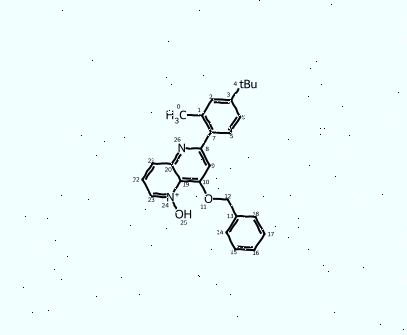 Cc1cc(C(C)(C)C)ccc1-c1cc(OCc2ccccc2)c2c(ccc[n+]2O)n1